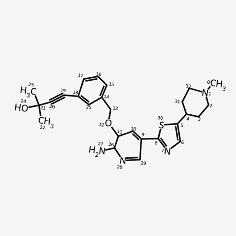 CN1CCC(c2cnc(C3=CC(OCc4cccc(C#CC(C)(C)O)c4)C(N)N=C3)s2)CC1